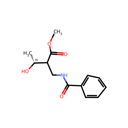 COC(=O)C(CNC(=O)c1ccccc1)[C@@H](C)O